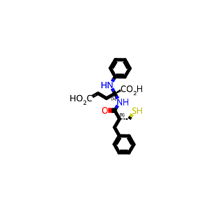 O=C(O)CC[C@@](NC(=O)[C@H](CS)Cc1ccccc1)(Nc1ccccc1)C(=O)O